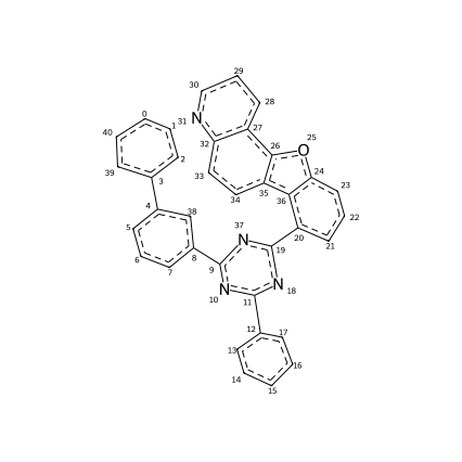 c1ccc(-c2cccc(-c3nc(-c4ccccc4)nc(-c4cccc5oc6c7cccnc7ccc6c45)n3)c2)cc1